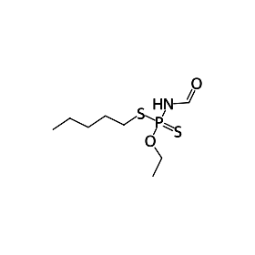 CCCCCSP(=S)(NC=O)OCC